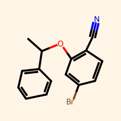 CC(Oc1cc(Br)ccc1C#N)c1ccccc1